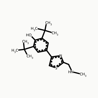 CNCc1nc(-c2cc(C(C)(C)C)c(O)c(C(C)(C)C)c2)cs1